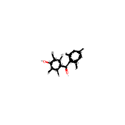 Cc1cc(C)c(C(=O)c2c(C)c(C)c([O])c(C)c2C)c(C)c1